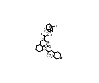 CC1(C)[C@@H]2CC[C@@]1(C)[C@@H](NC(=O)[C@H](CC1CCCCC1)NS(=O)(=O)NC(CC1CCNCC1)C(=O)O)C2